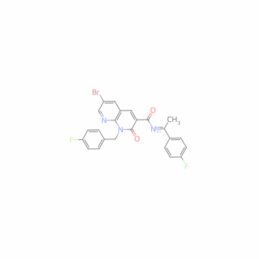 C/C(=N\C(=O)c1cc2cc(Br)cnc2n(Cc2ccc(F)cc2)c1=O)c1ccc(F)cc1